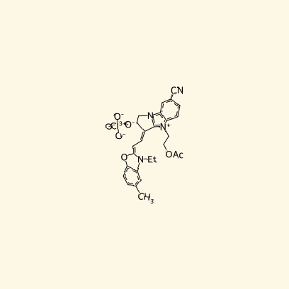 CCN1C(=CC=C2CCn3c2[n+](CCOC(C)=O)c2ccc(C#N)cc23)Oc2ccc(C)cc21.[O-][Cl+3]([O-])([O-])[O-]